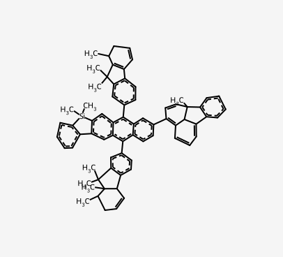 CC1CC=CC2=C1C(C)(C)c1cc(-c3c4cc(C5=C6C=CC=C7c8ccccc8C(C)(C=C5)C76)ccc4c(-c4ccc5c(c4)C(C)(C)C4(C)C(C)CC=CC54)c4cc5c(cc34)[Si](C)(C)c3ccccc3-5)ccc12